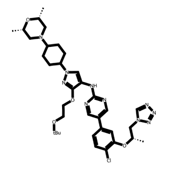 C[C@@H]1CN(C2CCC(n3cc(Nc4ncc(-c5ccc(Cl)c(O[C@@H](C)Cn6cnnn6)c5)cn4)c(OCCOC(C)(C)C)n3)CC2)C[C@H](C)O1